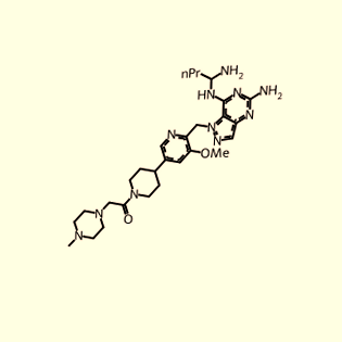 CCCC(N)Nc1nc(N)nc2cnn(Cc3ncc(C4CCN(C(=O)CN5CCN(C)CC5)CC4)cc3OC)c12